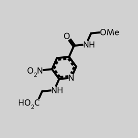 COCNC(=O)c1cnc(NCC(=O)O)c([N+](=O)[O-])c1